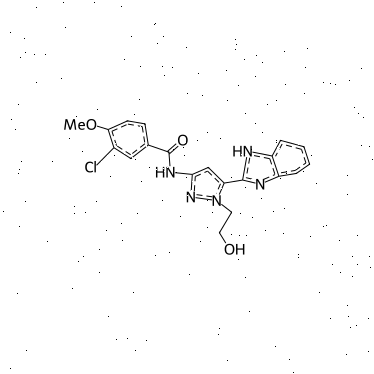 COc1ccc(C(=O)Nc2cc(-c3nc4ccccc4[nH]3)n(CCO)n2)cc1Cl